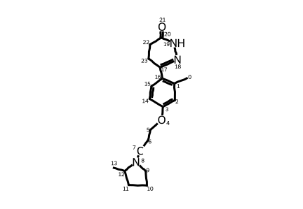 Cc1cc(OCCCN2CCCC2C)ccc1C1=NNC(=O)CC1